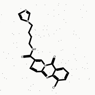 O=C(NCCCCn1ccnc1)c1ccc2nc3c(Cl)cccc3c(=O)n2c1